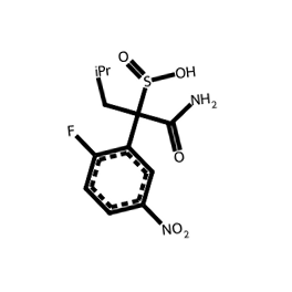 CC(C)CC(C(N)=O)(c1cc([N+](=O)[O-])ccc1F)S(=O)O